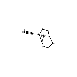 C#CC1CCC2BC1CCC2